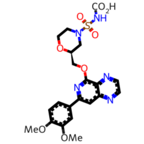 COc1ccc(-c2cc3nccnc3c(OC[C@@H]3CN(S(=O)(=O)NC(=O)O)CCO3)n2)cc1OC